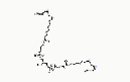 CCCCC/C=C\C/C=C\CCCCCCCC(=O)OCCCOP(=O)(O)OCC(O)COP(=O)(O)OCCCOC(=O)CCCCCCC/C=C\C/C=C\CCCCC